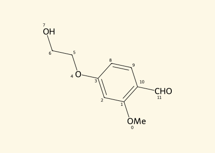 COc1cc(OCCO)ccc1C=O